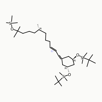 C[C@H](CCC/C=C/C=C1C[C@@H](O[Si](C)(C)C(C)(C)C)C[C@H](O[Si](C)(C)C(C)(C)C)C1)CCCC(C)(C)O[Si](C)(C)C